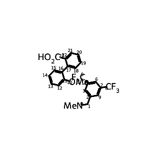 CNCc1cc(C(F)(F)F)cc(C(F)(F)F)c1.COc1ccccc1-c1ccccc1C(=O)O